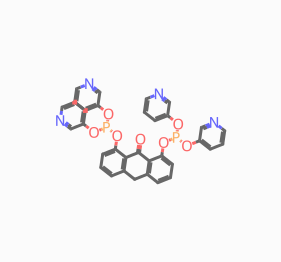 O=C1c2c(cccc2OP(Oc2cccnc2)Oc2cccnc2)Cc2cccc(OP(Oc3cccnc3)Oc3cccnc3)c21